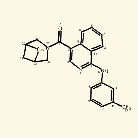 O=C(c1cnc(Nc2cccc(C(F)(F)F)c2)c2ccccc12)N1CC2CC(C1)O2